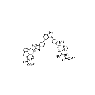 COC(=O)N[C@H]1CCc2ccn3c2C1C(=O)C[C@H](c1nc2ccc(-c4ccc5c(c4)N(c4ccc6nc([C@@H]7CCCN7C(=O)[C@@H](NC(=O)OC)C(C)C)[nH]c6c4)CC=N5)cc2[nH]1)C3